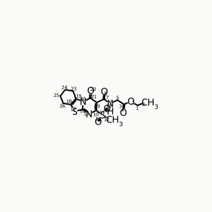 CCOC(=O)CNC(=O)c1c(S(C)(=O)=O)nc2sc3c(n2c1=O)CCCC3